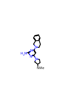 CNC1CCN(c2cc(N3CCc4ccccc4C3)nc(N)n2)C1